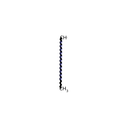 [CH]=C/C=C/C=C/C=C/C=C/C=C/C=C/C=C/C=C/C=C/C=C/C=C/CCCCC